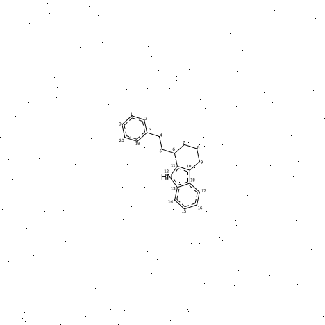 c1ccc(CCC2CCCc3c2[nH]c2ccccc32)cc1